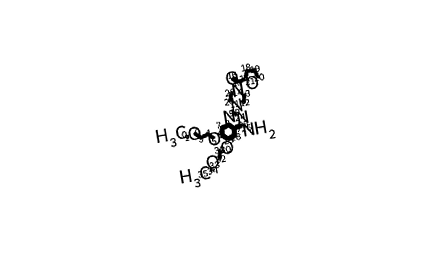 CCOCCOc1cc2nc(N3CCN(C(=O)C4CCCO4)CC3)nc(N)c2cc1OCCOCC